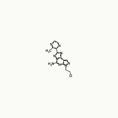 Cc1nccnc1-c1nc2c3cnn(CCCl)c3nc(N)n2n1